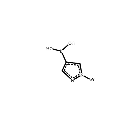 CC(C)n1cc(B(O)O)cn1